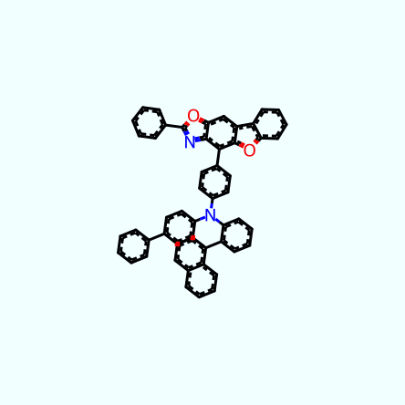 c1ccc(-c2ccc(N(c3ccc(-c4c5nc(-c6ccccc6)oc5cc5c4oc4ccccc45)cc3)c3ccccc3-c3cccc4ccccc34)cc2)cc1